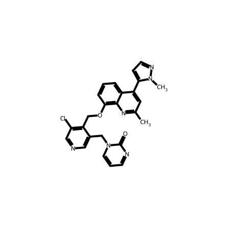 Cc1cc(-c2ccnn2C)c2cccc(OCc3c(Cl)cncc3Cn3cccnc3=O)c2n1